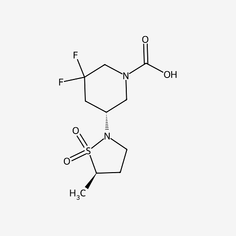 C[C@@H]1CCN([C@H]2CN(C(=O)O)CC(F)(F)C2)S1(=O)=O